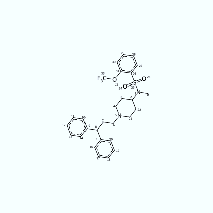 CN(C1CCN(CCC(c2ccccc2)c2ccccc2)CC1)S(=O)(=O)c1ccccc1OC(F)(F)F